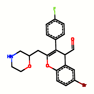 O=CC1C(c2ccc(F)cc2)=C(CC2CNCCO2)Oc2ccc(Br)cc21